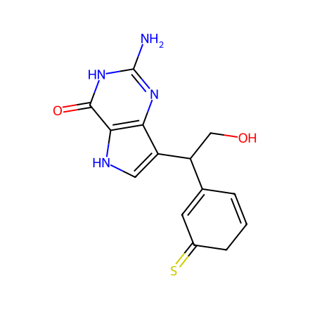 Nc1nc2c(C(CO)C3=CC(=S)CC=C3)c[nH]c2c(=O)[nH]1